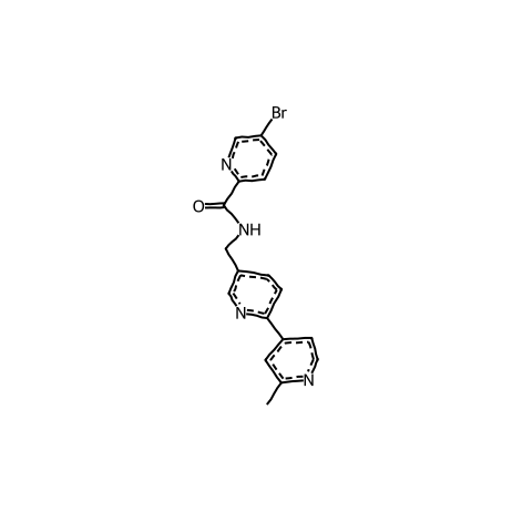 Cc1cc(-c2ccc(CNC(=O)c3ccc(Br)cn3)cn2)ccn1